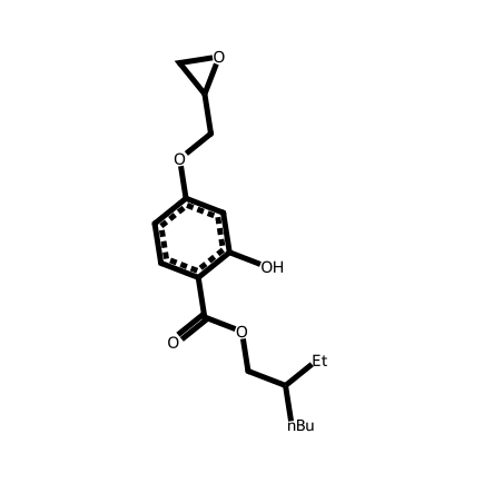 CCCCC(CC)COC(=O)c1ccc(OCC2CO2)cc1O